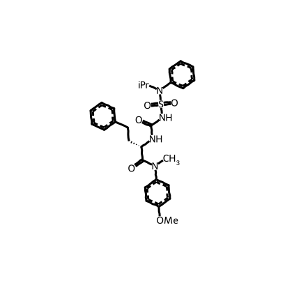 COc1ccc(N(C)C(=O)[C@H](CCc2ccccc2)NC(=O)NS(=O)(=O)N(c2ccccc2)C(C)C)cc1